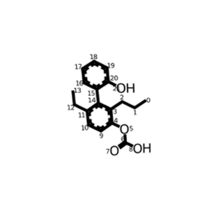 CCCc1c(OC(=O)O)ccc(CC)c1-c1ccccc1O